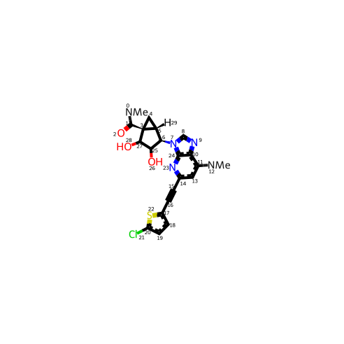 CNC(=O)[C@@]12C[C@@H]1[C@@H](n1cnc3c(NC)cc(C#Cc4ccc(Cl)s4)nc31)C(O)C2O